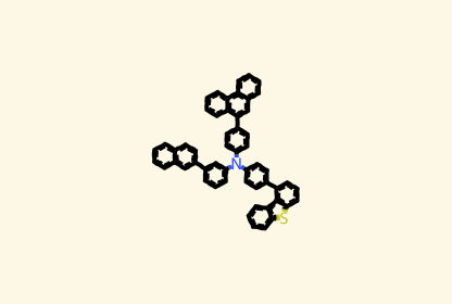 c1cc(-c2ccc3ccccc3c2)cc(N(c2ccc(-c3cc4ccccc4c4ccccc34)cc2)c2ccc(-c3cccc4sc5ccccc5c34)cc2)c1